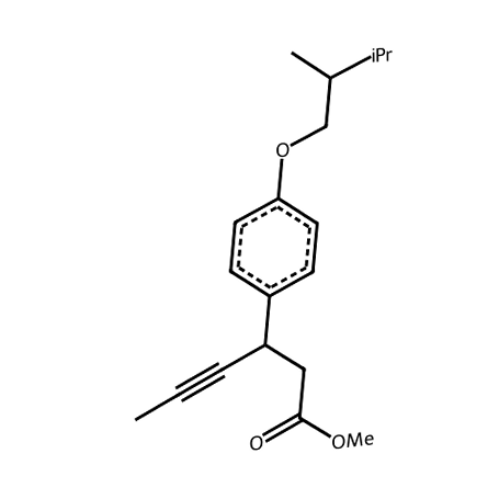 CC#CC(CC(=O)OC)c1ccc(OCC(C)C(C)C)cc1